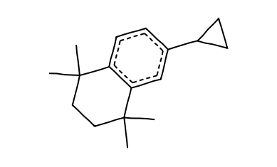 CC1(C)CCC(C)(C)c2cc(C3CC3)ccc21